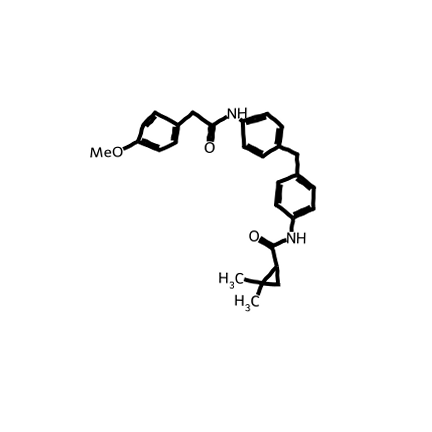 COc1ccc(CC(=O)Nc2ccc(Cc3ccc(NC(=O)C4CC4(C)C)cc3)cc2)cc1